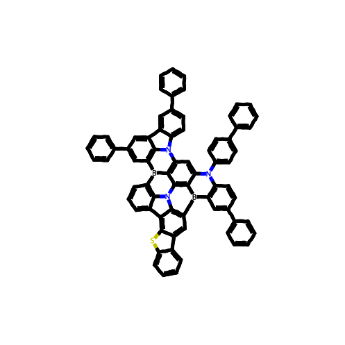 c1ccc(-c2ccc(N3c4ccc(-c5ccccc5)cc4B4c5c3cc3c6c5-n5c7c(cccc7c7c8sc9ccccc9c8cc4c75)B6c4cc(-c5ccccc5)cc5c6cc(-c7ccccc7)ccc6n-3c45)cc2)cc1